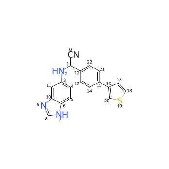 N#CC(Nc1ccc2[nH]cnc2c1)c1ccc(-c2ccsc2)cc1